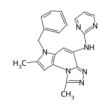 Cc1cc2c(cc(Nc3ncccn3)c3nnc(C)n32)n1Cc1ccccc1